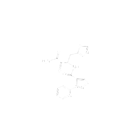 NC(=O)C(=O)C(Cc1cnco1)NC(=O)c1ccnn1-c1ccccn1